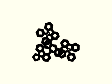 c1ccc([Si]2(c3ccccc3)c3ccccc3-c3cccc(-c4cccc5c(-c6cccc7c6-c6ccccc6C76CCCC6)c6cccc(-c7cccc8c7[Si](c7ccccc7)(c7ccccc7)c7ccccc7-8)c6cc45)c32)cc1